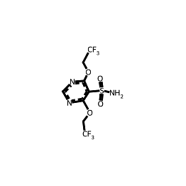 NS(=O)(=O)c1c(OCC(F)(F)F)ncnc1OCC(F)(F)F